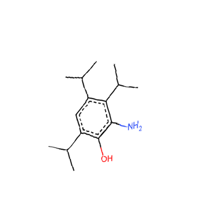 CC(C)c1cc(C(C)C)c(C(C)C)c(N)c1O